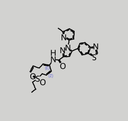 C=CC/C=C(\C=C/CS(=O)(=O)CCC)NC(=O)c1cc(-c2ccc3ncsc3c2)n(-c2cccc(C)n2)n1